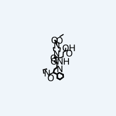 CCOC(=O)N1CCN(C(=O)C(CCC(=O)O)NC(=O)c2cc(C(=O)N3CCC3)c3ccccc3n2)CC1